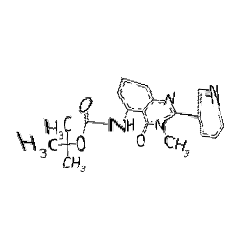 Cn1c(-c2cccnc2)nc2cccc(NC(=O)OC(C)(C)C)c2c1=O